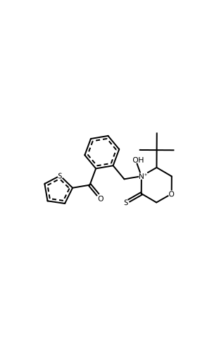 CC(C)(C)C1COCC(=S)[N+]1(O)Cc1ccccc1C(=O)c1cccs1